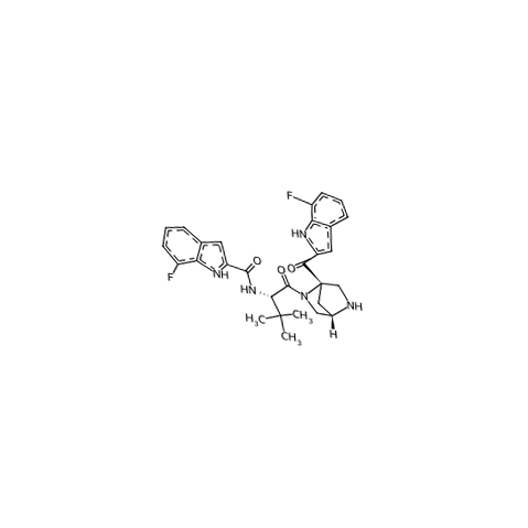 CC(C)(C)[C@H](NC(=O)c1cc2cccc(F)c2[nH]1)C(=O)N1C[C@@H]2C[C@@]1(C(=O)c1cc3cccc(F)c3[nH]1)CN2